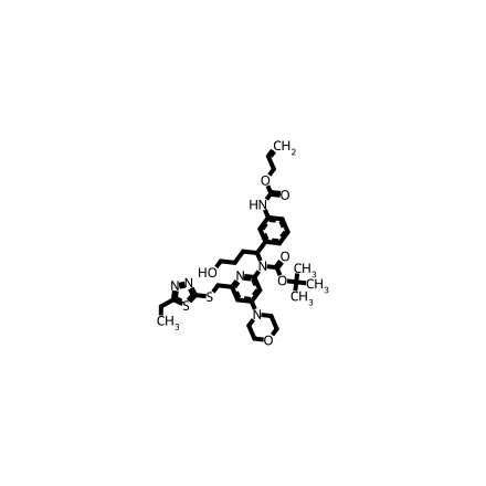 C=CCOC(=O)Nc1cccc(C(CCCO)N(C(=O)OC(C)(C)C)c2cc(N3CCOCC3)cc(CSc3nnc(CC)s3)n2)c1